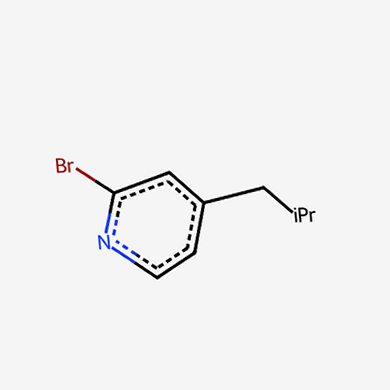 CC(C)Cc1ccnc(Br)c1